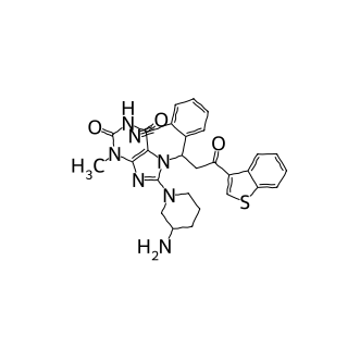 Cn1c(=O)[nH]c(=O)c2c1nc(N1CCCC(N)C1)n2C(CC(=O)c1csc2ccccc12)c1ccccc1C#N